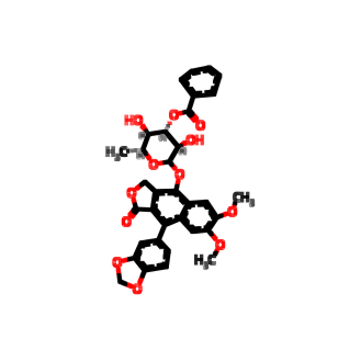 COc1cc2c(OC3O[C@H](C)[C@@H](O)[C@H](OC(=O)c4ccccc4)[C@H]3O)c3c(c(-c4ccc5c(c4)OCO5)c2cc1OC)C(=O)OC3